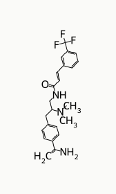 C=C(N)c1ccc(CC(CNC(=O)/C=C/c2cccc(C(F)(F)F)c2)N(C)C)cc1